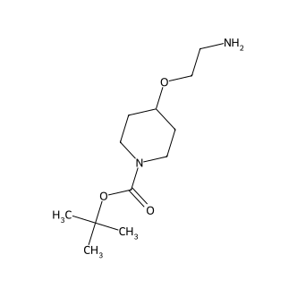 CC(C)(C)OC(=O)N1CCC(OCCN)CC1